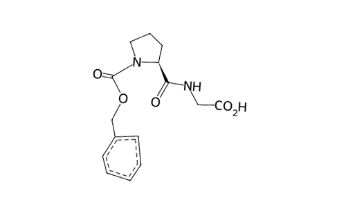 O=C(O)CNC(=O)[C@@H]1CCCN1C(=O)OCc1ccccc1